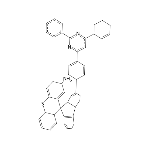 NC1C=C2C(=CC1)SC1C=CC=CC1C21C2=C(CCC=C2)C2CCC(C3C=CC(c4cc(C5C=CCCC5)nc(-c5ccccc5)n4)=CC3)=CC21